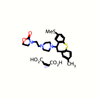 CSc1ccc2c(c1)C(N1CCN(CCN3CCOC3=O)CC1)Cc1cc(C)ccc1S2.O=C(O)/C=C\C(=O)O